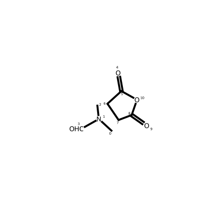 CN(C)C=O.O=C1CCC(=O)O1